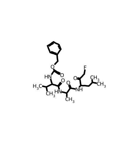 CC(C)CC(NC(=O)C(C)NC(=O)C(NC(=O)OCc1ccccc1)C(C)C)C(=O)CF